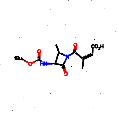 C/C(=C/C(=O)O)C(=O)N1C(=O)[C@@H](NC(=O)OC(C)(C)C)C1C